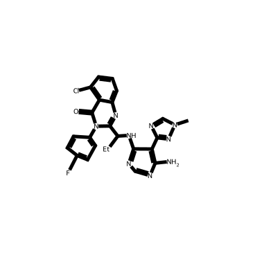 CCC(Nc1ncnc(N)c1-c1ncn(C)n1)c1nc2cccc(Cl)c2c(=O)n1-c1ccc(F)cc1